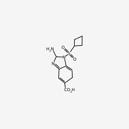 NC1N=C2C=C(C(=O)O)CC=C2N1S(=O)(=O)C1CCC1